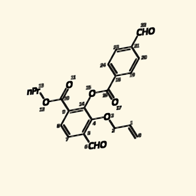 C=CCOc1c(C=O)ccc(C(=O)OCCC)c1OC(=O)c1ccc(C=O)cc1